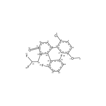 COc1ccc(Cl)c(-c2ccc(=O)n(CC(F)F)c2-c2c(F)cccc2F)c1